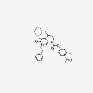 CC(=O)c1ccc(OC(=O)N2CCC(=O)N3C2=CN(CCc2ccccc2)C(=O)[C@@H]3C2CCCCC2)cc1C